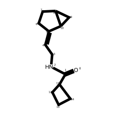 O=C(NC/C=C1/CCC2CC12)C1CCC1